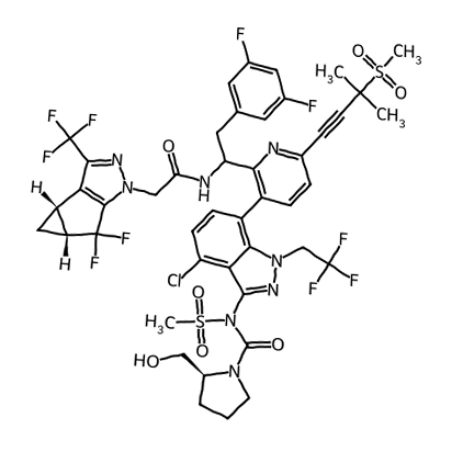 CC(C)(C#Cc1ccc(-c2ccc(Cl)c3c(N(C(=O)N4CCC[C@H]4CO)S(C)(=O)=O)nn(CC(F)(F)F)c23)c(C(Cc2cc(F)cc(F)c2)NC(=O)Cn2nc(C(F)(F)F)c3c2C(F)(F)[C@@H]2C[C@H]32)n1)S(C)(=O)=O